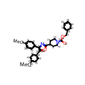 COc1ccc(-c2nc(C3CCN(C(=O)OCc4ccccc4)CC3)oc2-c2ccc(OC)cc2)cc1